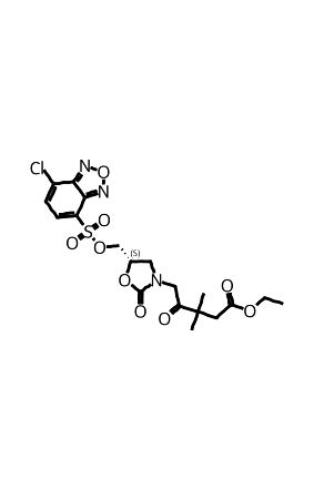 CCOC(=O)CC(C)(C)C(=O)CN1C[C@@H](COS(=O)(=O)c2ccc(Cl)c3nonc23)OC1=O